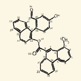 Cc1cccc2c1cc(C(=O)Oc1ccc3ccccc3c1-c1ccc(Cl)cc1C=O)c1ccccc12